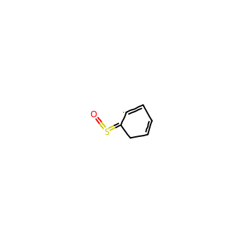 O=S=C1[C]=CC=CC1